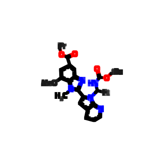 CCC(NC(=O)OC(C)(C)C)n1c(-c2nc3cc(C(=O)OC(C)C)cc(OC)c3n2C)cc2cccnc21